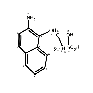 Nc1ccc2ccccc2c1O.O=S(=O)(O)O.O=S(=O)(O)O